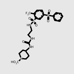 O=C(NCCNS(=O)(=O)c1cc(S(=O)(=O)c2ccccc2)ccc1C(F)(F)F)NC1CCN(C(=O)O)CC1